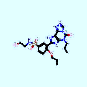 CCCOc1ccc(S(=O)(=O)NCCO)cc1-c1nc2c([nH]1)c1nncn1c(=O)n2CCC